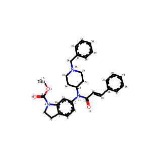 CC(C)(C)OC(=O)N1CCc2ccc(N(C(=O)C=Cc3ccccc3)C3CCN(Cc4ccccc4)CC3)cc21